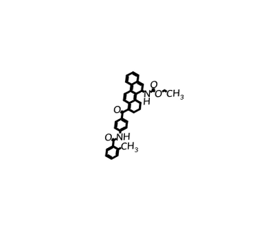 CCOC(=O)NC1C=c2ccccc2=c2ccc3c(c21)CCCC=3C(=O)c1ccc(NC(=O)c2ccccc2C)cc1